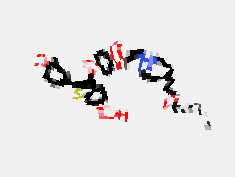 O=C1C=CC(c2sc3cc(O)ccc3c2Oc2ccc(OCCN3CCC(CCCO[N+](=O)[O-])CC3)cc2)=CC1